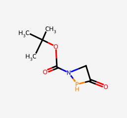 CC(C)(C)OC(=O)N1CC(=O)P1